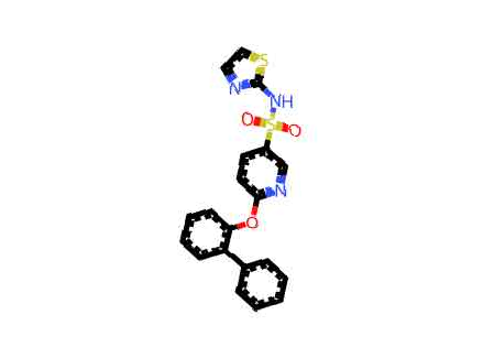 O=S(=O)(Nc1nccs1)c1ccc(Oc2ccccc2-c2ccccc2)nc1